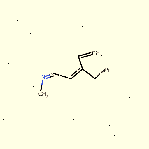 C=C/C(=C\C=N/C)CC(C)C